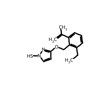 C=C(C)c1cccc(CC)c1COc1ccn(S)n1